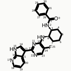 O=C(N[C@H]1CCCC[C@H]1Nc1nc(-c2c[nH]c3ncccc23)ncc1F)c1ccccc1